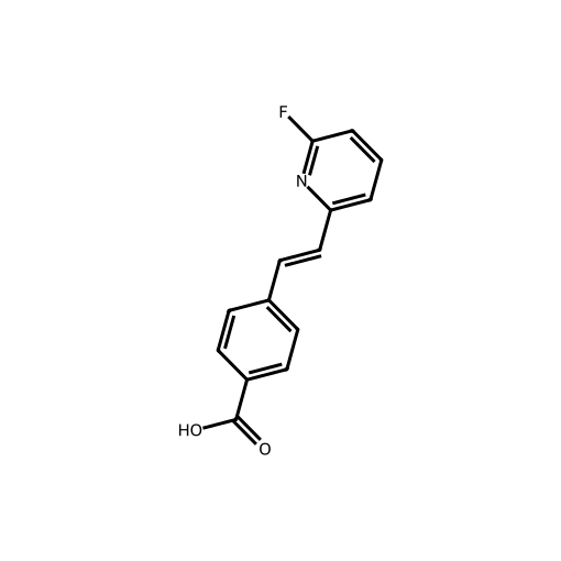 O=C(O)c1ccc(C=Cc2cccc(F)n2)cc1